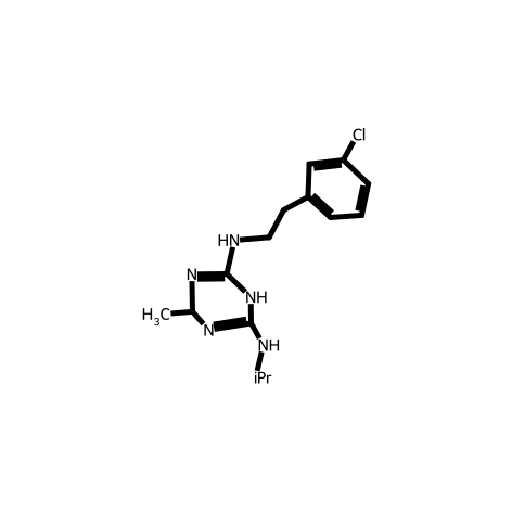 CC1N=C(NCCc2cccc(Cl)c2)NC(NC(C)C)=N1